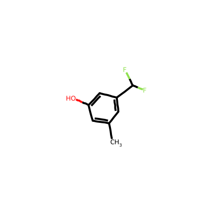 Cc1cc(O)cc(C(F)F)c1